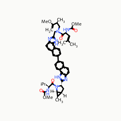 C=C(OC)[C@@H](C)CN(Cc1nc2ccc3cc(-c4ccc5c(ccc6nc([C@@H]7C[C@H]8[C@@H](C)[C@H]8N7C(=O)[C@@H](NC(=O)OC)C(C)C)[nH]c65)c4)ccc3c2[nH]1)C(=O)[C@H](C=C(C)C)NC(=O)OC